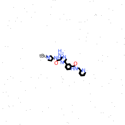 CC(C)(C)N1CC[C@H](NC(=O)c2nc(-c3cccc(C(=O)NCc4ccccn4)c3)cnc2N)C1